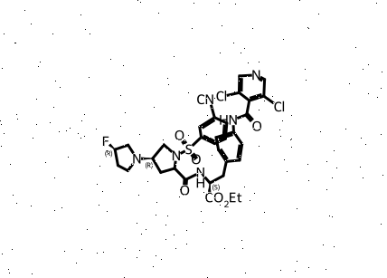 CCOC(=O)[C@H](Cc1ccc(NC(=O)c2c(Cl)cncc2Cl)cc1)NC(=O)C1C[C@@H](N2CC[C@@H](F)C2)CN1S(=O)(=O)c1cccc(C#N)c1